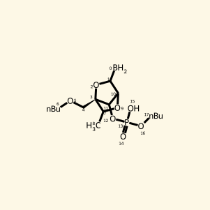 BC1O[C@@]2(COCCCC)C(C)OC1C2OP(=O)(O)OCCCC